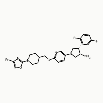 CC(C)c1noc(N2CCC(COc3ccc(N4C[C@H](c5cc(F)ccc5F)[C@@H](N)C4)cn3)CC2)n1